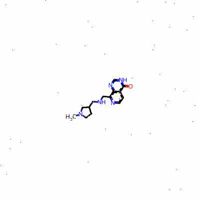 CN1CCC(CNCc2nccc3c(=O)[nH]cnc23)C1